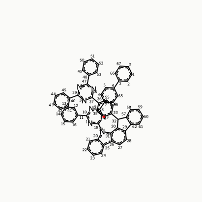 c1ccc(-c2ccc(-c3nc(-c4ccccc4)nc(-n4c5ccccc5c5ccc6c(c54)C(c4ccc(-c5nc(-c7ccccc7)nc(-c7ccccc7)n5)cc4)c4ccccc4-6)n3)cc2)cc1